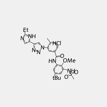 CCc1ncc(-c2cn(-c3cc(C(=O)Nc4cc(C(C)(C)C)cc(NS(C)(=O)=O)c4OC)ccc3C)nn2)[nH]1.Cl